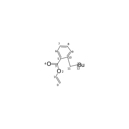 C=COC(=O)c1ccccc1CC(C)CC